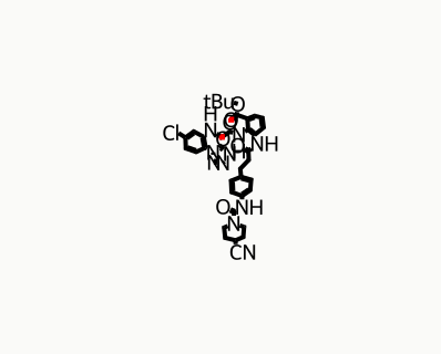 CC(C)(C)OC(=O)c1cccc(NC(=O)CCc2ccc(NC(=O)N3CCC(C#N)CC3)cc2)c1NC(=O)C(=O)Nc1cc(Cl)ccc1-n1cnnn1